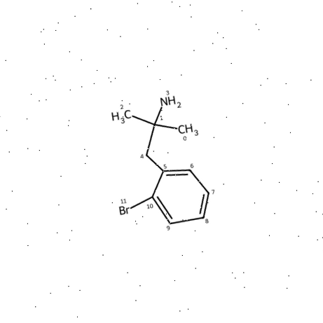 CC(C)(N)Cc1ccccc1Br